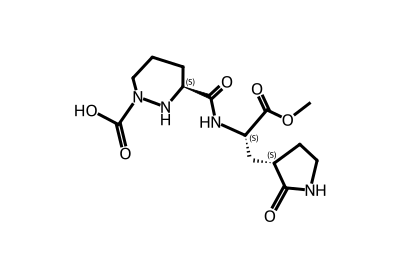 COC(=O)[C@H](C[C@@H]1CCNC1=O)NC(=O)[C@@H]1CCCN(C(=O)O)N1